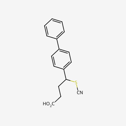 N#CSC(CCC(=O)O)c1ccc(-c2ccccc2)cc1